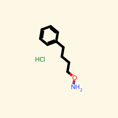 Cl.NOCCCCc1ccccc1